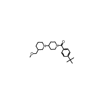 COCC1CCCN(C2CCN(C(=O)c3ccc(C(C)(C)C)cc3)CC2)C1